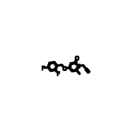 C#CCn1c(C)cc(OCc2ccc(F)cc2F)cc1=O